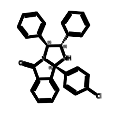 O=C1c2ccccc2[C@@]2(c3ccc(Cl)cc3)N[C@@H](c3ccccc3)[C@H](c3ccccc3)N12